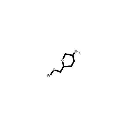 BC1CCC(COC(C)C)OC1